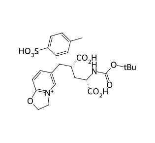 CC(C)(C)OC(=O)N[C@@H](C[C@H](Cc1ccc2[n+](c1)CCO2)C(=O)O)C(=O)O.Cc1ccc(S(=O)(=O)O)cc1